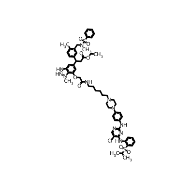 CCOC(=O)CC(c1ccc(C)c(CN(C)S(=O)(=O)c2ccccc2)c1)c1cc2c(c(OCC(=O)NCCCCCCN3CCN(c4ccc(Nc5ncc(Cl)c(Nc6ccccc6S(=O)(=O)C(C)C)n5)cc4)CC3)c1)N(C)NN2